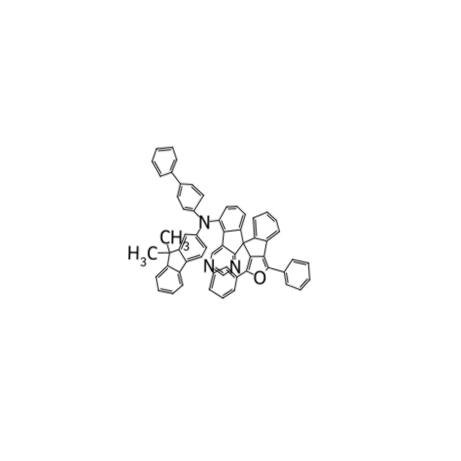 CC1(C)c2ccccc2-c2ccc(N(c3ccc(-c4ccccc4)cc3)c3cccc4c3-c3cncnc3C43c4ccccc4-c4c(-c5ccccc5)oc(-c5ccccc5)c43)cc21